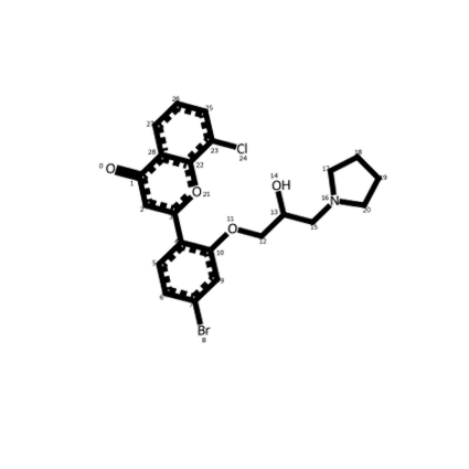 O=c1cc(-c2ccc(Br)cc2OCC(O)CN2CCCC2)oc2c(Cl)cccc12